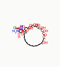 C[C@@H]1[C@H](O)[C@@H](C)/C=C/C=C/C=C/C=C/C=C/C=C/C=C/[C@H](O[C@@H]2O[C@H](C)[C@@H](O)[C@H](N)[C@@H]2O)C[C@@H]2O[C@](O)(C[C@@H](O)C[C@@H](O)[C@H](O)CC[C@@H](O)C[C@@H](O)CC(=O)O[C@H]1C)C[C@H](O)[C@H]2C(=O)NCCCCl